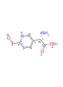 N[C@H](C(=O)O)c1ccc(C=O)nc1